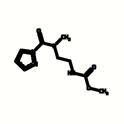 COC(=O)NCCN(C)C(=O)n1cccn1